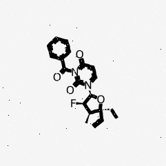 C=C[C@]1(CC)O[C@@H](n2ccc(=O)n(C(=O)c3ccccc3)c2=O)[C@H](F)[C@@H]1C